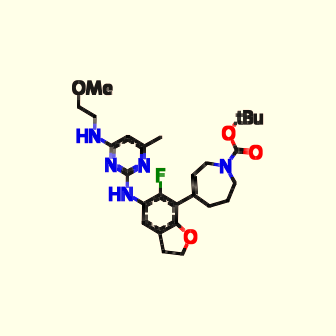 COCCNc1cc(C)nc(Nc2cc3c(c(C4=CCN(C(=O)OC(C)(C)C)CCC4)c2F)OCC3)n1